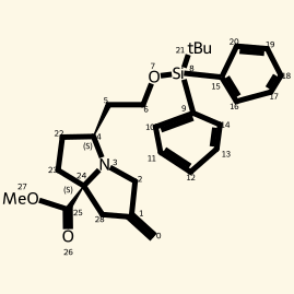 C=C1CN2[C@H](CCO[Si](c3ccccc3)(c3ccccc3)C(C)(C)C)CC[C@@]2(C(=O)OC)C1